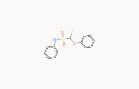 O=S(=O)(Nc1ccccc1)C(Cl)Oc1ccccc1